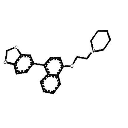 c1ccc2c(-c3ccc4c(c3)OCO4)ccc(OCCN3CCCCC3)c2c1